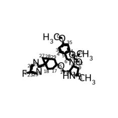 COc1ccc(CN([C@H]2C[C@@H](C)N[C@H]2COC2CCC3(c4ncc(F)cn4)CC3C2)S(C)(=O)=O)cc1